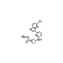 CC(C)(C)OC(=O)N1CCC(Nc2cccc(-c3cnc4ccc(C5CC5)nn34)n2)C1